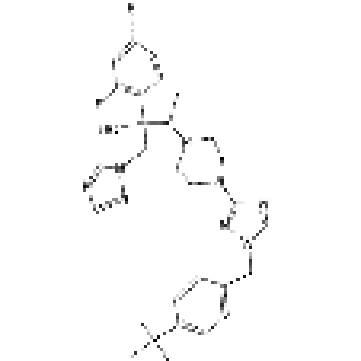 CC(N1CCN(c2ncn(Cc3ccc(C(C)(C)C)cc3)n2)CC1)C(O)(Cn1cncn1)c1ccc(F)cc1F